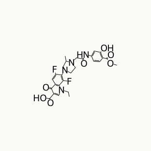 CCn1cc(C(=O)O)c(=O)c2cc(F)c(N3CCN(CC(=O)Nc4ccc(C(=O)OC)c(O)c4)C(C)C3)c(F)c21